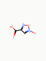 O=C(O)c1c[n+]([O-])on1